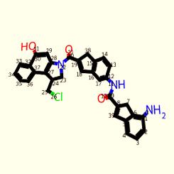 Nc1cccc2c1CC(C(=O)Nc1ccc3c(c1)C=C(C(=O)N1CC(CCl)c4c1cc(O)c1ccccc41)C3)=C2